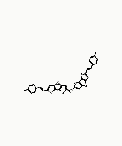 Cc1ccc(/C=C/c2cc3sc4cc(Oc5cc6sc7cc(/C=C/c8ccc(C)cc8)sc7c6s5)sc4c3s2)cc1